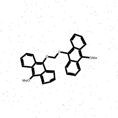 COc1c2ccccc2c(OCOc2c3ccccc3c(OC)c3ccccc23)c2ccccc12